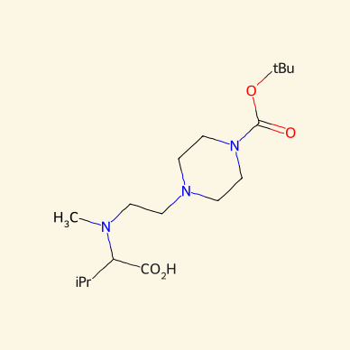 CC(C)C(C(=O)O)N(C)CCN1CCN(C(=O)OC(C)(C)C)CC1